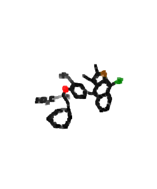 CCCc1cc(-c2c3ccccc3c(Br)c3sc(C)c(C)c23)ccc1O[C@H](Cc1ccccc1)C(=O)O